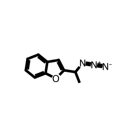 CC(N=[N+]=[N-])c1cc2ccccc2o1